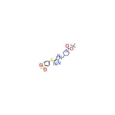 CC(C)(C)OC(=O)N1CCC(Cn2ncc3c(Sc4ccc(S(C)(=O)=O)cc4)ncnc32)CC1